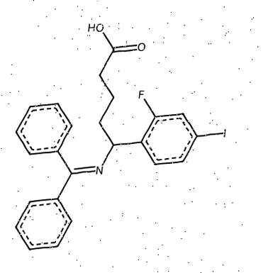 O=C(O)CCCC(N=C(c1ccccc1)c1ccccc1)c1ccc(I)cc1F